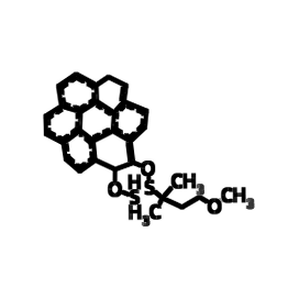 COCCC(C)(C)SOC1=c2ccc3c4c5c(ccc6ccc7ccc(c(c24)c7c65)C1OS)CC=3